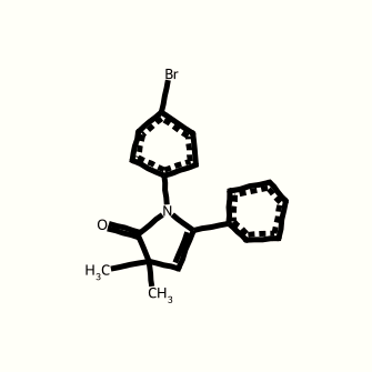 CC1(C)C=C(c2ccccc2)N(c2ccc(Br)cc2)C1=O